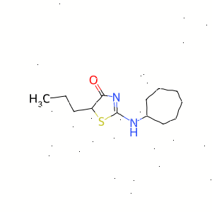 CCCC1SC(NC2CCCCCC2)=NC1=O